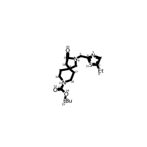 CCc1cnc(CN2CC3(CCN(C(=O)OC(C)(C)C)CC3)CC2=O)s1